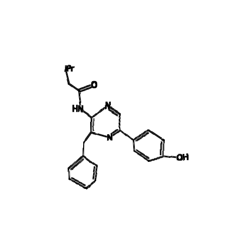 CC(C)CC(=O)Nc1ncc(-c2ccc(O)cc2)nc1Cc1ccccc1